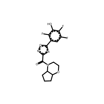 O=C(c1noc(-c2cc(F)c(F)c(O)c2F)n1)N1CCOC2CCCC21